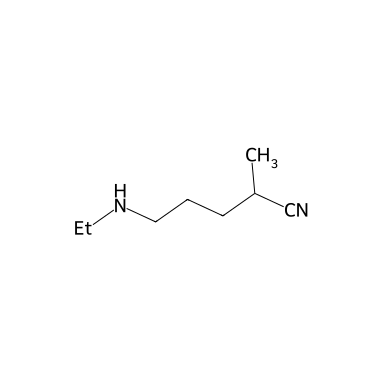 CCNCCCC(C)C#N